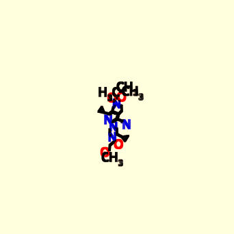 COCCC(=O)N1CCN(c2nc(C3CC3)c3c(c2C#N)CCN(C(=O)OC(C)(C)C)C3)CC1C1CC1